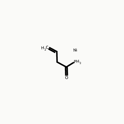 C=CCC(=O)P.[Ni]